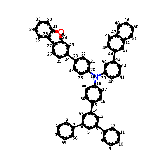 c1ccc(-c2cc(-c3ccccc3)cc(-c3ccc(N(c4ccc(-c5ccc6c(c5)oc5ccccc56)cc4)c4cccc(-c5ccc6ccccc6c5)c4)cc3)c2)cc1